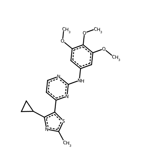 COc1cc(Nc2nccc(-c3sc(C)nc3C3CC3)n2)cc(OC)c1OC